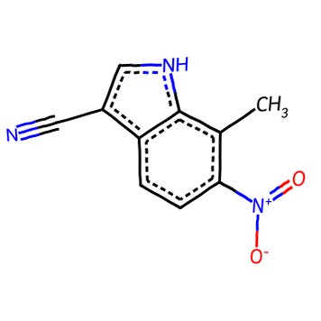 Cc1c([N+](=O)[O-])ccc2c(C#N)c[nH]c12